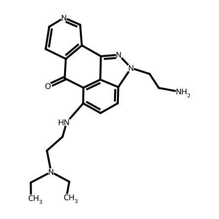 CCN(CC)CCNc1ccc2c3c(nn2CCN)-c2cnccc2C(=O)c13